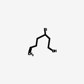 C=CCCC(CC)CCO